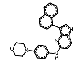 c1ccc2c(-c3cnn4ccc(Nc5ccc(N6CCOCC6)cc5)nc34)cccc2c1